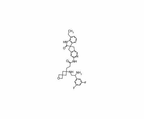 CCc1cccc2c1NC(=O)C21Cc2cnc(NC(=O)CCC3(NCC(N)c4cc(F)cc(F)c4)CC4(COC4)C3)cc2C1